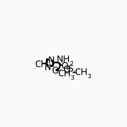 CCSOO/C(C(C)=O)=C(\N)c1cnc(Cl)cn1